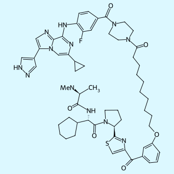 CN[C@@H](C)C(=O)N[C@H](C(=O)N1CCC[C@H]1c1nc(C(=O)c2cccc(OCCCCCCCCCC(=O)N3CCN(C(=O)c4ccc(Nc5nc(C6CC6)cn6c(-c7cn[nH]c7)cnc56)c(F)c4)CC3)c2)cs1)C1CCCCC1